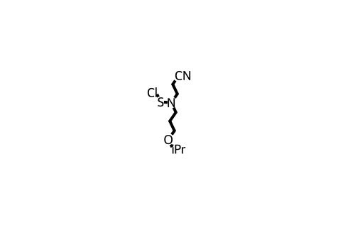 CC(C)OCCCN(CCC#N)SCl